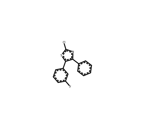 Fc1cccc(-c2sc(Cl)nc2-c2ccccc2)c1